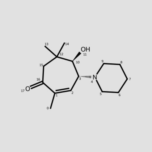 CC1=C[C@@H](N2CCCCC2)[C@H](O)C(C)(C)CC1=O